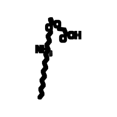 C=C(OCCCCCCCCCCCCCCCC)OCCC(=O)O.N